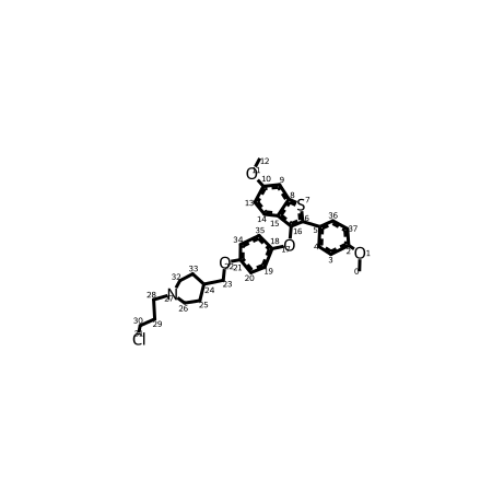 COc1ccc(-c2sc3cc(OC)ccc3c2Oc2ccc(OCC3CCN(CCCCl)CC3)cc2)cc1